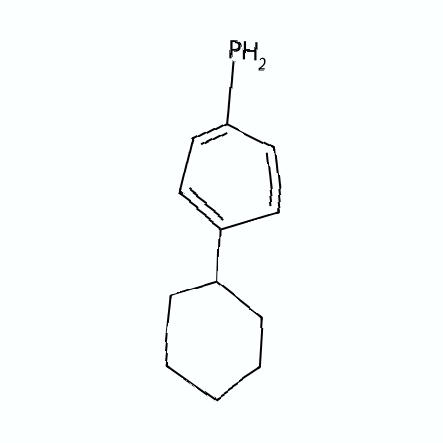 Pc1ccc(C2CCCCC2)cc1